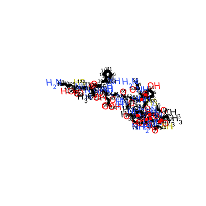 CC(C)C[C@H](NC(=O)[C@H](CS)NC(=O)[C@@H](NC(=O)[C@H](CS)NC(=O)[C@H](CCC(=O)O)NC(=O)[C@@H](N(C)C(=O)[C@H](Cc1ccc(O)cc1)NC(=O)CNC(=O)CN)C(C)(C)C)C(C)C)C(=O)NCC(=O)N[C@@H](CC(N)=O)C(=O)NCC(=O)N[C@@H](CCCCN)C(=O)NCC(=O)N[C@@H](CCC(=O)O)C(=O)N[C@@H](Cc1c[nH]c2ccccc12)C(=O)N[C@H](C(=O)N[C@@H](CS)C(=O)N[C@@H](CCCCN)C(=O)O)[C@@H](C)O